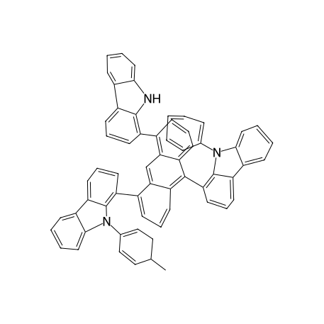 CC1C=CC(n2c3ccccc3c3cccc(-c4cccc5c(-c6cccc7c8ccccc8n(-c8ccccc8)c67)c6cccc(-c7cccc8c7[nH]c7ccccc78)c6cc45)c32)=CC1